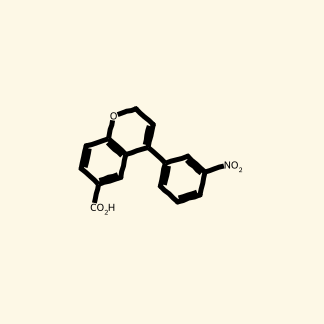 O=C(O)c1ccc2c(c1)C(c1cccc([N+](=O)[O-])c1)=CCO2